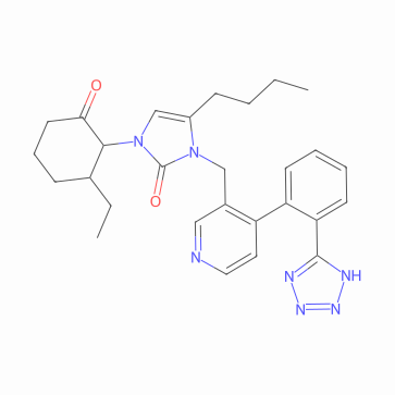 CCCCc1cn(C2C(=O)CCCC2CC)c(=O)n1Cc1cnccc1-c1ccccc1-c1nnn[nH]1